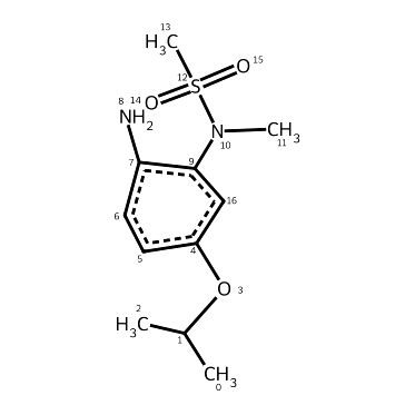 CC(C)Oc1ccc(N)c(N(C)S(C)(=O)=O)c1